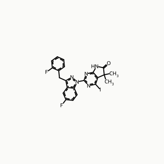 CC1(C)C(=O)Nc2nc(-n3nc(Cc4ccccc4F)c4cc(F)ccc43)nc(I)c21